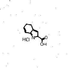 Cl.O=C(O)C1C=C2CCC=CC2=N1